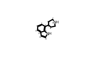 c1cc(C2CCNCC2)c2[nH]ccc2c1